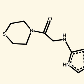 O=C(CNc1ncc[nH]1)N1CCSCC1